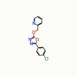 Clc1ccc(-c2nnc(OCc3ccccn3)o2)cc1